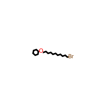 BrCCCCCCCCCCCOC1CCCCC1